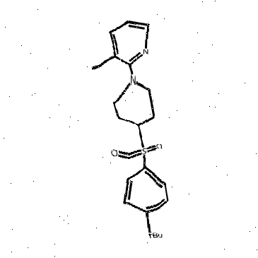 Cc1cccnc1N1CCC(S(=O)(=O)c2ccc(C(C)(C)C)cc2)CC1